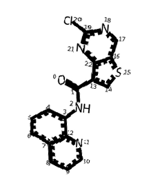 O=C(Nc1cccc2cccnc12)c1csc2cnc(Cl)nc12